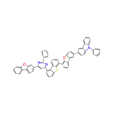 c1ccc(-c2nc(-c3ccc4c(c3)oc3ccccc34)cc(-c3cccc4sc5c(-c6cccc7c6oc6ccc(-c8ccc9c(c8)c8ccccc8n9-c8ccccc8)cc67)cccc5c34)n2)cc1